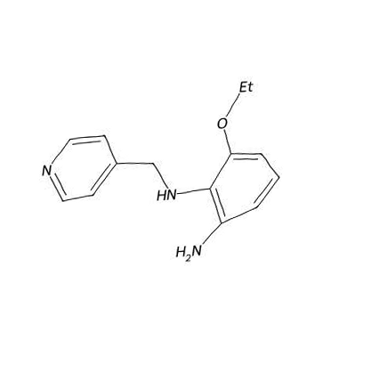 CCOc1cccc(N)c1NCc1ccncc1